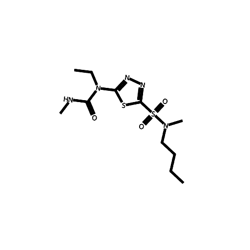 CCCCN(C)S(=O)(=O)c1nnc(N(CC)C(=O)NC)s1